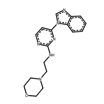 c1ccc2c(c1)ncn2-c1ccnc(NCCN2CCOCC2)n1